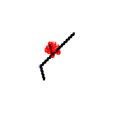 CCCCCCCC/C=C\CCCCCCCCO[C@H](COC(=O)CCCCCCCCCCCCCCC)COC(C(O)CO)P(=O)(O)O